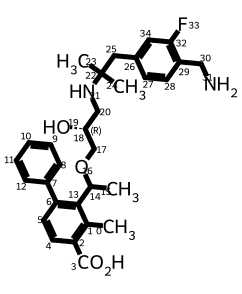 Cc1c(C(=O)O)ccc(-c2ccccc2)c1C(C)OC[C@H](O)CNC(C)(C)Cc1ccc(CN)c(F)c1